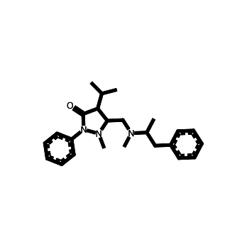 CC(C)C1C(=O)N(c2ccccc2)N(C)C1CN(C)C(C)Cc1ccccc1